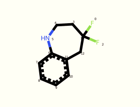 FC1(F)CCNc2ccccc2C1